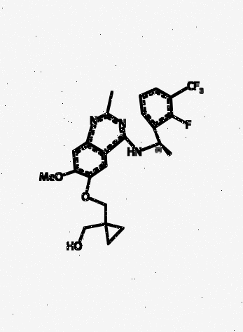 COc1cc2nc(C)nc(N[C@H](C)c3cccc(C(F)(F)F)c3F)c2cc1OCC1(CO)CC1